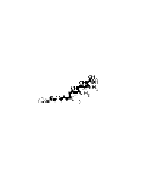 CCCCCCCCCCOCOCCCC(C)CC(C)CC(C)CC(C)CC(C)CC(C)O